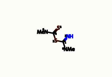 CNC(=N)SC(=S)NC